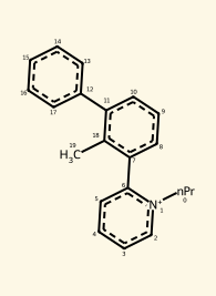 CCC[n+]1ccccc1-c1cccc(-c2ccccc2)c1C